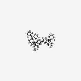 CC1C=Cc2c(c3ccccc3n2-c2ccccc2)C1n1c2ccccc2c2cc(-c3ccc4c(c3)c3ccccc3n4-c3ccccc3)ccc21